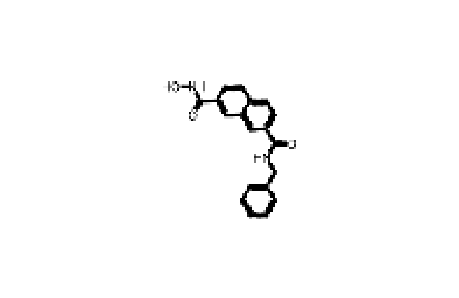 O=C(NO)c1ccc2ccc(C(=O)NCc3ccccc3)cc2c1